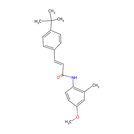 COc1ccc(NC(=O)/C=C/c2ccc(C(C)(C)C)cc2)c(C)c1